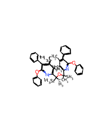 Cc1c(C(C)([SiH3])OC(C)([SiH3])c2nc(Oc3ccccc3)c(-c3ccccc3)c(C)c2C)nc(Oc2ccccc2)c(-c2ccccc2)c1C